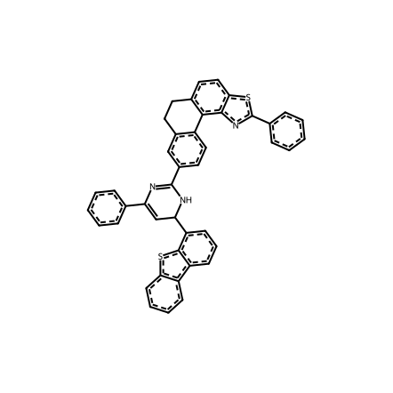 C1=C(c2ccccc2)N=C(c2ccc3c(c2)CCc2ccc4sc(-c5ccccc5)nc4c2-3)NC1c1cccc2c1sc1ccccc12